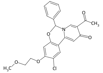 COCCOc1cc2c(cc1Cl)-c1cc(=O)c(C(C)=O)cn1C(c1ccccc1)O2